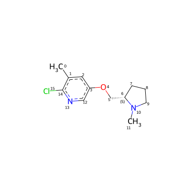 Cc1cc(OC[C@@H]2CCCN2C)cnc1Cl